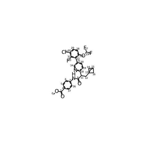 COC(=O)c1ccc(NC(=O)C(CC23CC(C2)C3)c2ccc(-c3c(OC(F)F)ccc(Cl)c3F)cn2)cc1